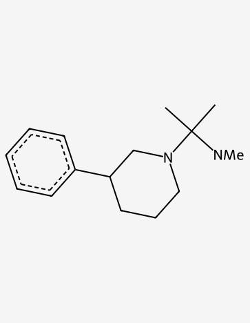 CNC(C)(C)N1CCCC(c2ccccc2)C1